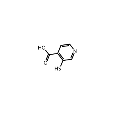 O=C(O)c1ccncc1S